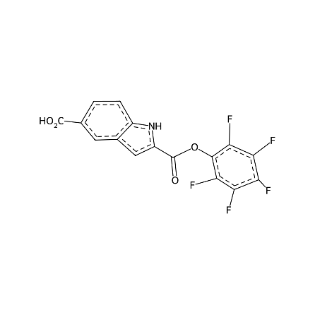 O=C(O)c1ccc2[nH]c(C(=O)Oc3c(F)c(F)c(F)c(F)c3F)cc2c1